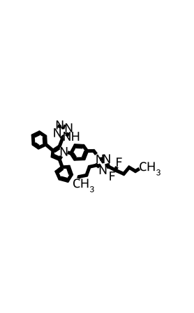 CCCCc1nc(C(F)(F)CCCC)nn1Cc1ccc(-n2c(-c3ccccc3)cc(-c3ccccc3)c2-c2nnn[nH]2)cc1